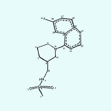 CS(=O)(=O)NCC1CCCN(c2ncnc3ccc(F)cc23)C1